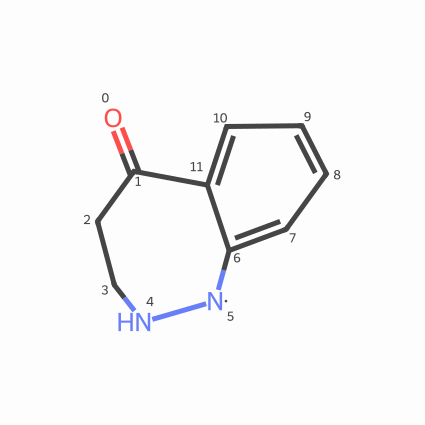 O=C1CCN[N]c2ccccc21